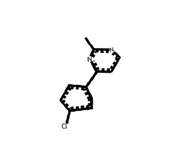 Cc1nccc(-c2ccc(Cl)cc2)n1